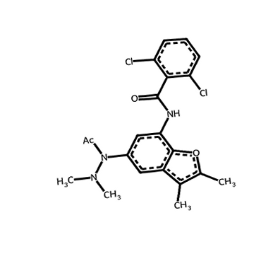 CC(=O)N(c1cc(NC(=O)c2c(Cl)cccc2Cl)c2oc(C)c(C)c2c1)N(C)C